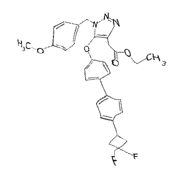 CCOC(=O)c1nnn(Cc2ccc(OC)cc2)c1Oc1ccc(-c2ccc(C3CC(F)(F)C3)cc2)cc1